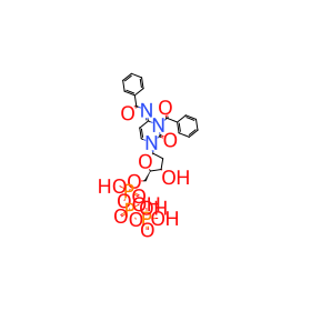 O=C(N=c1ccn([C@H]2C[C@H](O)[C@@H](COP(=O)(O)OP(=O)(O)OP(=O)(O)O)O2)c(=O)n1C(=O)c1ccccc1)c1ccccc1